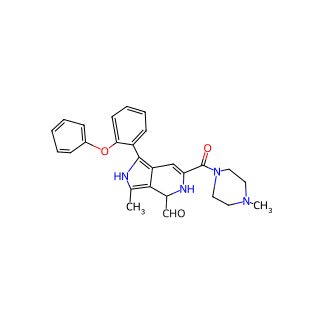 Cc1[nH]c(-c2ccccc2Oc2ccccc2)c2c1C(C=O)NC(C(=O)N1CCN(C)CC1)=C2